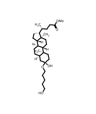 COC(=O)CC[C@@H](C)[C@H]1CC[C@H]2[C@@H]3CC[C@@H]4C[C@@](O)(OCCCCCO)CC[C@]4(C)[C@H]3CC[C@]12C